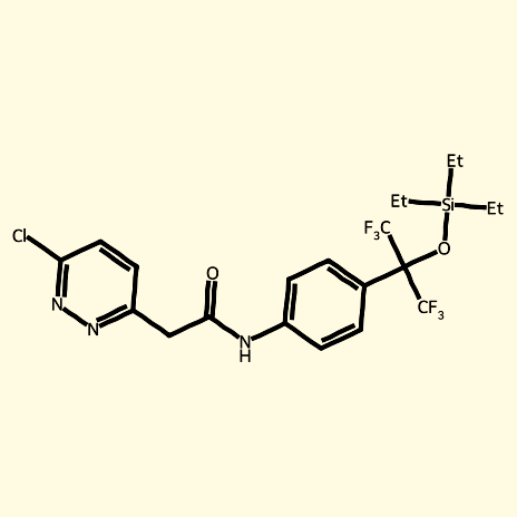 CC[Si](CC)(CC)OC(c1ccc(NC(=O)Cc2ccc(Cl)nn2)cc1)(C(F)(F)F)C(F)(F)F